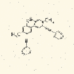 Cc1cc2c(cc1C#Cc1ccccc1)-c1cc(C#Cc3ccccc3)c(C)cc1SS2